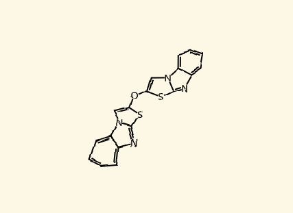 c1ccc2c(c1)nc1sc(Oc3cn4c(nc5ccccc54)s3)cn12